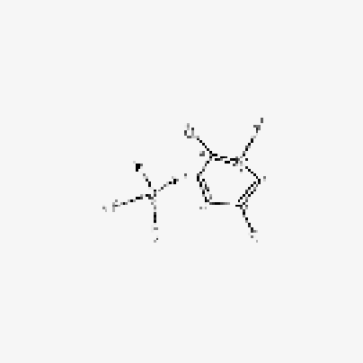 F[B-](F)(F)F.F[n+]1cc(Cl)ccc1Cl